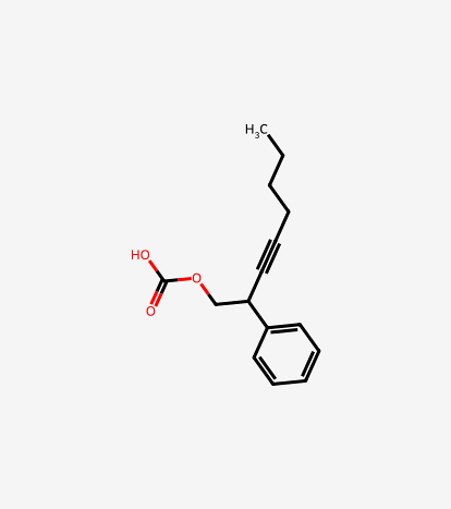 CCCCC#CC(COC(=O)O)c1ccccc1